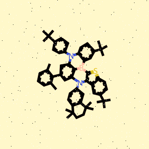 Cc1cccc(C)c1-c1cc2c3c(c1)N(c1ccc4c(c1)C(C)(C)CCC4(C)C)c1c(sc4ccc(C(C)(C)C)cc14)B3c1cc(C(C)(C)C)ccc1N2c1ccc(C(C)(C)C)cc1